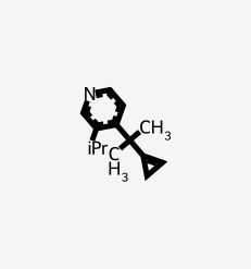 CC(C)c1cnccc1C(C)(C)C1=CC1